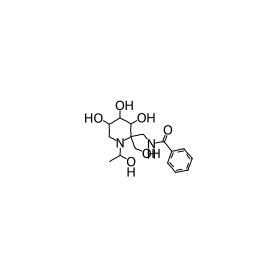 CC(O)N1CC(O)C(O)C(O)C1(CO)CNC(=O)c1ccccc1